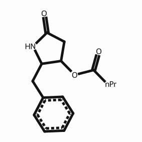 CCCC(=O)OC1CC(=O)NC1Cc1ccccc1